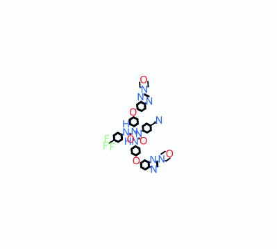 N#Cc1ccc(N(C(=O)Nc2ccc(Oc3ccc4ncc(N5CCOCC5)nc4c3)cc2)N(C(=O)Nc2ccc(C(F)(F)F)cc2)c2ccc(Oc3ccc4ncc(N5CCOCC5)nc4c3)cc2)cc1